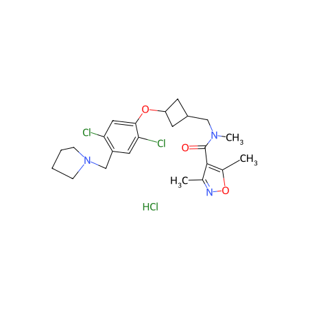 Cc1noc(C)c1C(=O)N(C)CC1CC(Oc2cc(Cl)c(CN3CCCC3)cc2Cl)C1.Cl